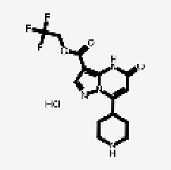 Cl.O=C(OCC(F)(F)F)c1cnn2c(C3CCNCC3)cc(=O)[nH]c12